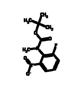 CN(C(=O)OC(C)(C)C)c1c(F)cccc1[N+](=O)[O-]